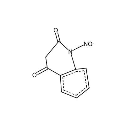 O=[N+]N1C(=O)CC(=O)c2ccccc21